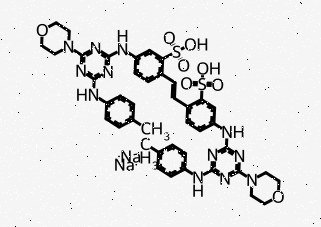 Cc1ccc(Nc2nc(Nc3ccc(C=Cc4ccc(Nc5nc(Nc6ccc(C)cc6)nc(N6CCOCC6)n5)cc4S(=O)(=O)O)c(S(=O)(=O)O)c3)nc(N3CCOCC3)n2)cc1.[Na].[Na]